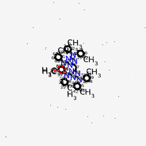 Cc1cccc(N(c2cccc(C)c2)c2nc(Cc3nc(N(c4cccc(C)c4)c4cccc(C)c4)nc(N(c4cccc(C)c4)c4cccc(C)c4)n3)nc(N(c3cccc(C)c3)c3cccc(C)c3)n2)c1